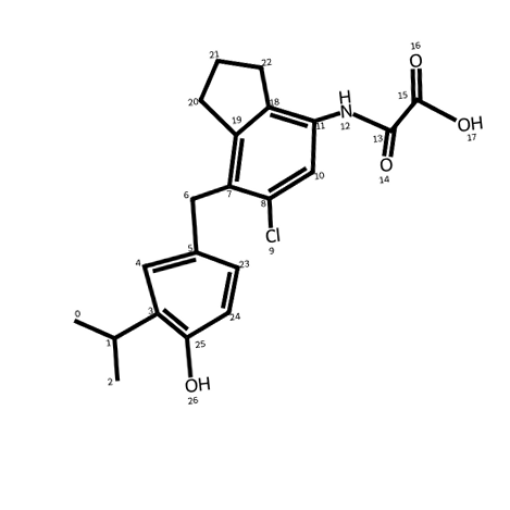 CC(C)c1cc(Cc2c(Cl)cc(NC(=O)C(=O)O)c3c2CCC3)ccc1O